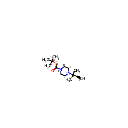 C#CC(C)(C)N1CCN(C(=O)OC(C)(C)C)CC1